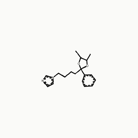 CC1OC(CCCCn2ccnc2)(c2ccccc2)OC1C